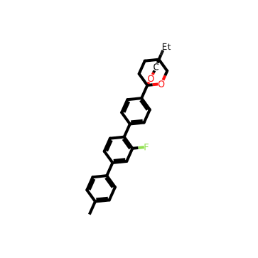 CCC12CCC(c3ccc(-c4ccc(-c5ccc(C)cc5)cc4F)cc3)(OC1)OC2